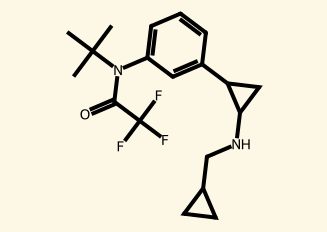 CC(C)(C)N(C(=O)C(F)(F)F)c1cccc(C2CC2NCC2CC2)c1